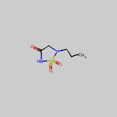 CCCN1CC(=O)NS1(=O)=O